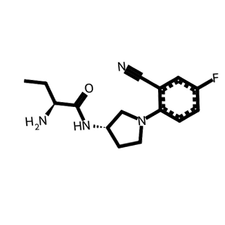 CC[C@H](N)C(=O)N[C@H]1CCN(c2ccc(F)cc2C#N)C1